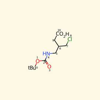 CC(C)(C)OC(=O)NCC(CCl)CC(=O)O